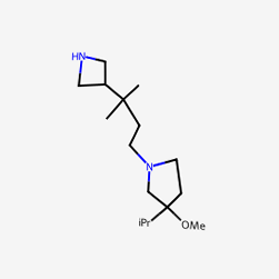 COC1(C(C)C)CCN(CCC(C)(C)C2CNC2)C1